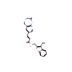 CCc1c(CN(C)C(=O)/C=C/c2cnc3c(c2)CNCC(=O)N3)oc2ccccc12